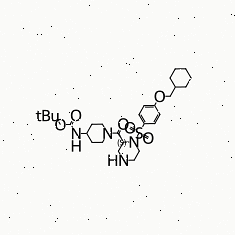 CC(C)(C)OC(=O)NC1CCN(C(=O)[C@@H]2CNCCN2S(=O)(=O)c2ccc(OCC3CCCCC3)cc2)CC1